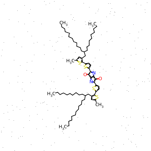 CCCCCCCCCCCCC(CCCCCCCCCC)Cc1cc(C)sc1-c1ccc(-c2nc3c(=O)c(-c4ccc(-c5sc(C)cc5CC(CCCCCCCCCC)CCCCCCCCCCCC)s4)nc=3c2=O)s1